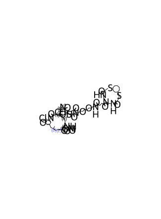 COc1cc2cc(c1Cl)N(C)C(=O)C[C@H](OC(=O)[C@H](C)N(C)C(=O)CC(C)(C)SC1CC(=O)N(CCOCCOCCNC(=O)CCC(=O)N3CCNC(=O)CCSC4CCCCC(CC4)SCCC(=O)NCC3)C1=O)[C@](C)(O)C[C@H](C)CC[C@@](O)(NC(=O)N=O)[C@H](OC)/C=C/C=C(\C)C2